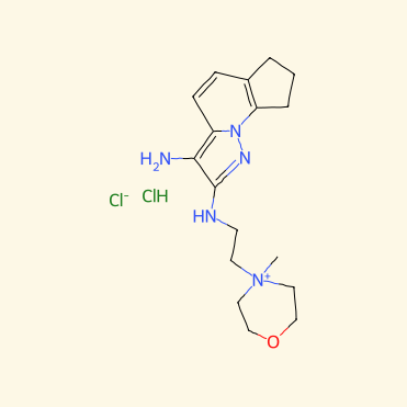 C[N+]1(CCNc2nn3c4c(ccc3c2N)CCC4)CCOCC1.Cl.[Cl-]